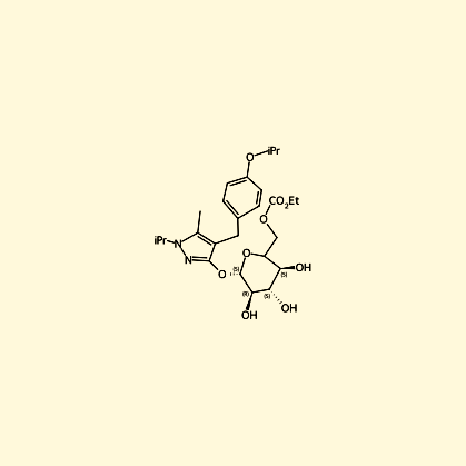 CCOC(=O)OCC1O[C@@H](Oc2nn(C(C)C)c(C)c2Cc2ccc(OC(C)C)cc2)[C@H](O)[C@@H](O)[C@@H]1O